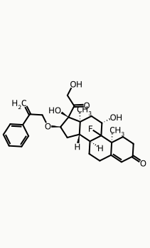 C=C(CO[C@@H]1C[C@H]2[C@@H]3CCC4=CC(=O)CC[C@]4(C)C3(F)[C@@H](O)C[C@]2(C)[C@@]1(O)C(=O)CO)c1ccccc1